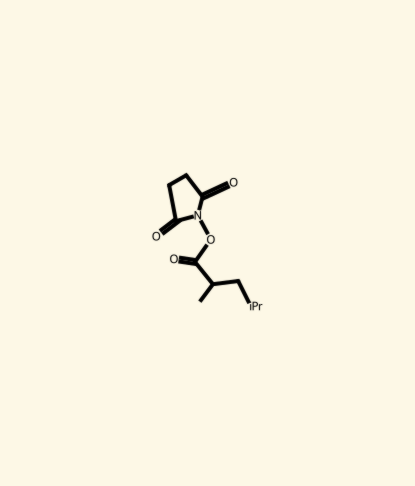 CC(C)CC(C)C(=O)ON1C(=O)CCC1=O